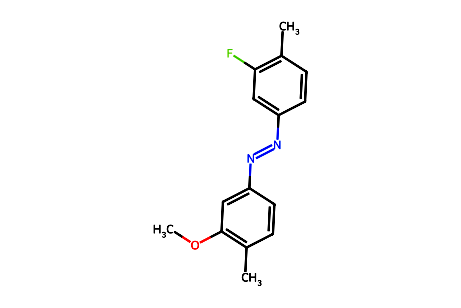 COc1cc(N=Nc2ccc(C)c(F)c2)ccc1C